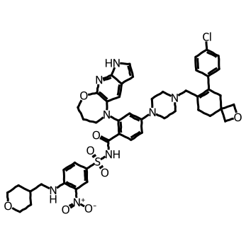 O=C(NS(=O)(=O)c1ccc(NCC2CCOCC2)c([N+](=O)[O-])c1)c1ccc(N2CCN(CC3=C(c4ccc(Cl)cc4)CC4(CC3)COC4)CC2)cc1N1CCCOc2nc3[nH]ccc3cc21